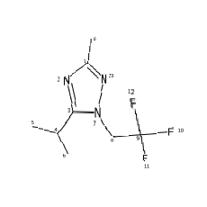 Cc1nc(C(C)C)n(CC(F)(F)F)n1